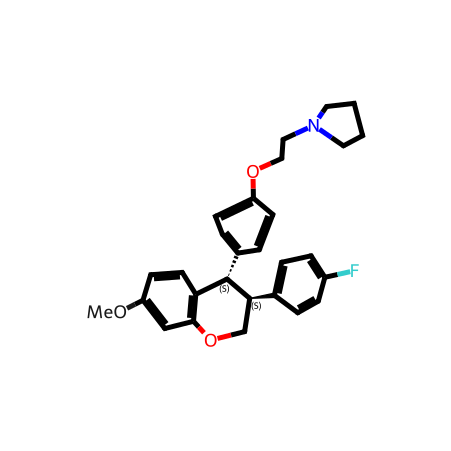 COc1ccc2c(c1)OC[C@H](c1ccc(F)cc1)[C@H]2c1ccc(OCCN2CCCC2)cc1